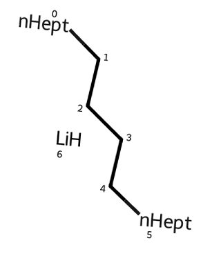 CCCCCCCCCCCCCCCCCC.[LiH]